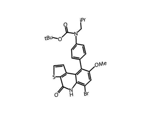 COc1cc(Br)c2[nH]c(=O)c3sccc3c2c1-c1ccc(N(CC(C)C)C(=O)OC(C)(C)C)cc1